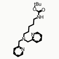 CC(C)(C)OC(=O)NCCCCCN(Cc1ccccn1)Cc1ccccn1